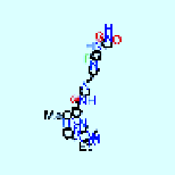 CC[C@H]1c2nnc(C)n2-c2cnc(Nc3ccc(C(=O)NC4CCN(CCC5CCN(c6ccc(NC7CCC(=O)NC7=O)cc6F)CC5)CC4)cc3OC)nc2N1CC1CCCCC1